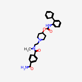 CN(CCN1CCC(OC(=O)Nc2ccccc2-c2ccccc2)CC1)C(=O)c1ccc(C(N)=O)cc1